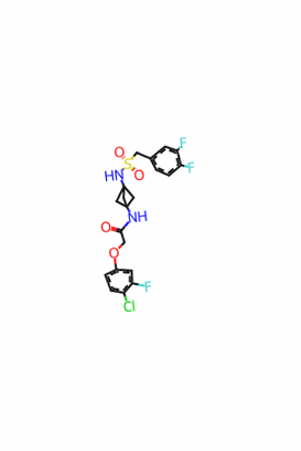 O=C(COc1ccc(Cl)c(F)c1)NC12CC(NS(=O)(=O)Cc3ccc(F)c(F)c3)(C1)C2